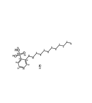 CCCCCCCCCCCCc1ccccc1S(=O)(=O)O.[K]